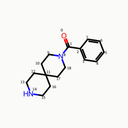 O=C(c1ccccc1)N1CCC2(CCNCC2)CC1